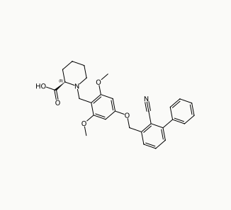 COc1cc(OCc2cccc(-c3ccccc3)c2C#N)cc(OC)c1CN1CCCC[C@@H]1C(=O)O